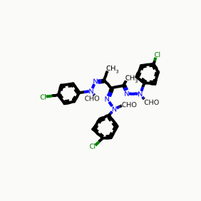 CC(=NN(C=O)c1ccc(Cl)cc1)C(=NN(C=O)c1ccc(Cl)cc1)C(C)=NN(C=O)c1ccc(Cl)cc1